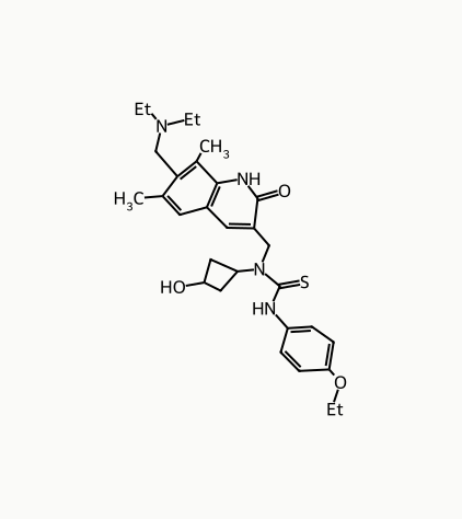 CCOc1ccc(NC(=S)N(Cc2cc3cc(C)c(CN(CC)CC)c(C)c3[nH]c2=O)C2CC(O)C2)cc1